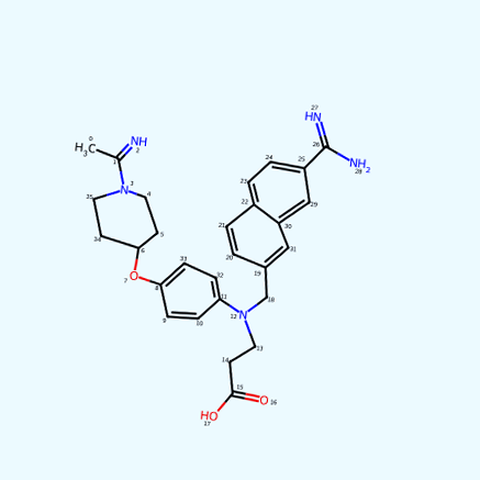 CC(=N)N1CCC(Oc2ccc(N(CCC(=O)O)Cc3ccc4ccc(C(=N)N)cc4c3)cc2)CC1